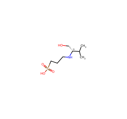 CC(C)[C@@H](CO)NCCCS(=O)(=O)O